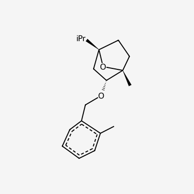 Cc1ccccc1CO[C@@H]1C[C@]2(C(C)C)CC[C@@]1(C)O2